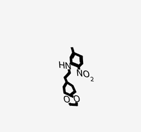 Cc1ccc([N+](=O)[O-])c(NCCC2CCC3(CC2)OCCO3)c1